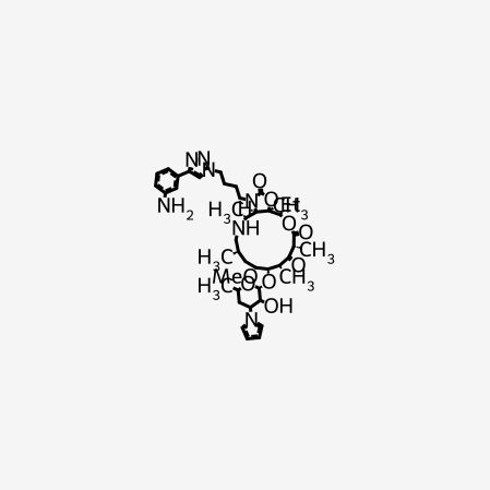 CC[C@H]1OC(=O)[C@H](C)C(=O)[C@H](C)[C@@H](O[C@@H]2OC(C)CC(n3cccc3)C2O)[C@H](OC)C[C@@H](C)CN[C@H](C)[C@H]2N(CCCCn3cc(-c4cccc(N)c4)nn3)C(=O)O[C@]12C